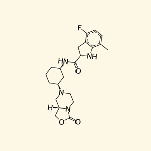 Cc1ccc(F)c2c1NC(C(=O)N[C@@H]1CCC[C@H](N3CCN4C(=O)OC[C@@H]4C3)C1)C2